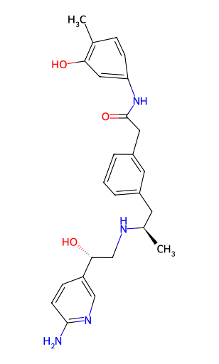 Cc1ccc(NC(=O)Cc2cccc(C[C@@H](C)NC[C@@H](O)c3ccc(N)nc3)c2)cc1O